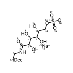 CCCCCCCCCCCNC(=O)[C@H](O)[C@@H](O)[C@H](O)[C@H](O)COS(=O)(=O)[O-].[Na+]